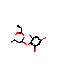 C=CC(=O)OC(CCC)Oc1c(Br)cc(Br)cc1Br